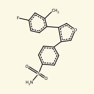 Cc1cc(F)ccc1-c1cocc1-c1ccc(S(N)(=O)=O)cc1